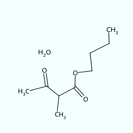 CCCCOC(=O)C(C)C(C)=O.O